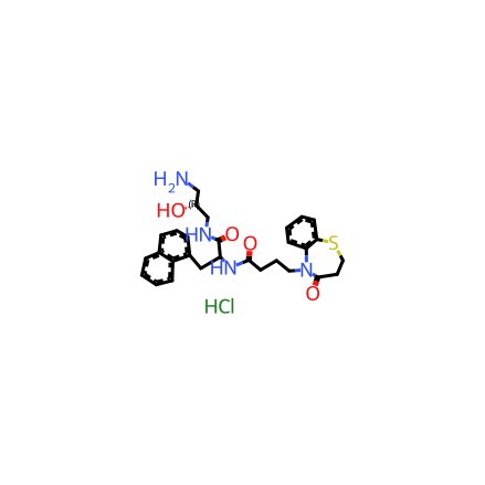 Cl.NC[C@@H](O)CNC(=O)C(Cc1cccc2ccccc12)NC(=O)CCCN1C(=O)CCSc2ccccc21